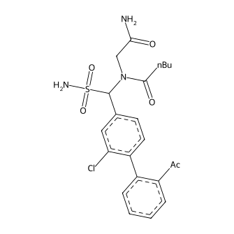 CCCCC(=O)N(CC(N)=O)C(c1ccc(-c2ccccc2C(C)=O)c(Cl)c1)S(N)(=O)=O